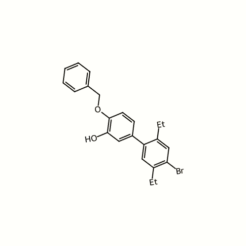 CCc1cc(-c2ccc(OCc3ccccc3)c(O)c2)c(CC)cc1Br